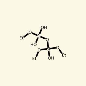 CCO[Si](O)(O)O[Si](O)(OCC)OCC